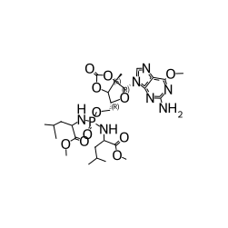 COC(=O)C(CC(C)C)NP(=O)(NC(CC(C)C)C(=O)OC)OC[C@H]1O[C@@H](n2cnc3c(OC)nc(N)nc32)[C@@]2(C)OC(=O)OC12